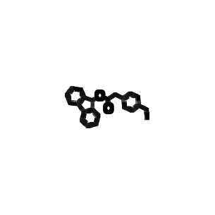 C=Cc1ccc(CC(=O)OC2c3ccccc3-c3ccccc32)cc1